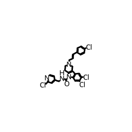 O=C(NCc1ccnc(Cl)c1)n1c2c(c3cc(Cl)c(Cl)cc31)CN(CC=Cc1ccc(Cl)cc1)CC2